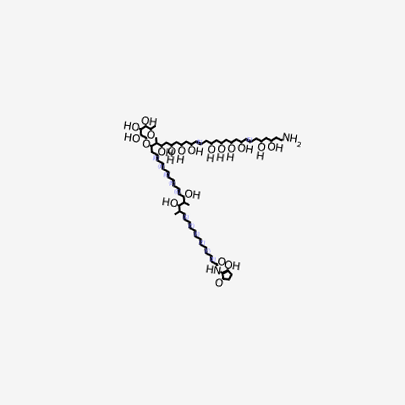 CC(/C=C/C=C/C=C/C=C/C=C/C=C/C(=O)NC1=C(O)CCC1=O)C(O)C(C)C(O)/C=C/C=C/C=C/C=C/C=C/CC(OC1OC(C)C(O)C(O)C1O)C(C)C(O)CC(O)CC(O)CC(O)/C=C/CC(O)CC(O)CC(O)CC(O)/C=C/CC(O)CC(O)CCN